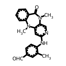 Cc1cc(C=O)ccc1Nc1cc2c(cn1)N(C)C(=O)c1ccccc1N2C